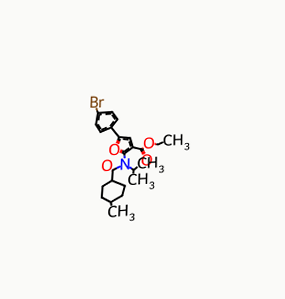 CCOC(=O)c1cc(-c2ccc(Br)cc2)oc1N(C(=O)C1CCC(C)CC1)C(C)C